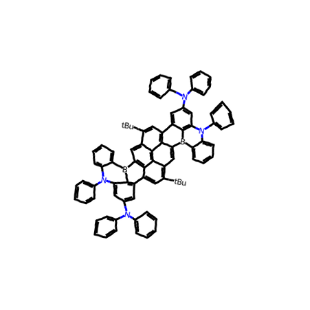 CC(C)(C)c1cc2c3c(cc4c(C(C)(C)C)cc5c6c(cc1c3c46)B1c3ccccc3N(c3ccccc3)c3cc(N(c4ccccc4)c4ccccc4)cc-5c31)B1c3ccccc3N(c3ccccc3)c3cc(N(c4ccccc4)c4ccccc4)cc-2c31